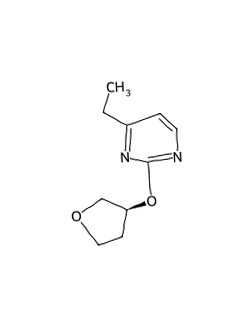 CCc1ccnc(O[C@H]2CCOC2)n1